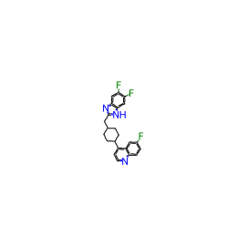 Fc1ccc2nccc(C3CCC(Cc4nc5cc(F)c(F)cc5[nH]4)CC3)c2c1